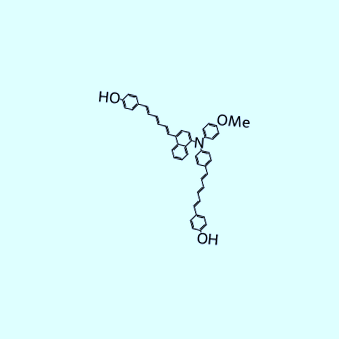 COc1ccc(N(c2ccc(C=CC=CC=Cc3ccc(O)cc3)cc2)c2ccc(C=CC=CC=Cc3ccc(O)cc3)c3ccccc23)cc1